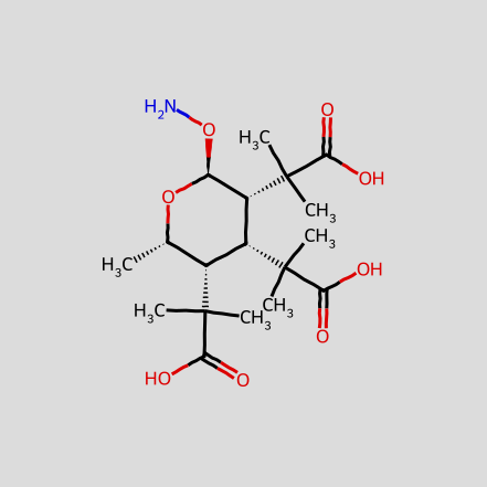 C[C@@H]1O[C@@H](ON)[C@H](C(C)(C)C(=O)O)[C@H](C(C)(C)C(=O)O)[C@@H]1C(C)(C)C(=O)O